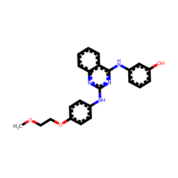 COCCOc1ccc(Nc2nc(Nc3cccc(O)c3)c3ccccc3n2)cc1